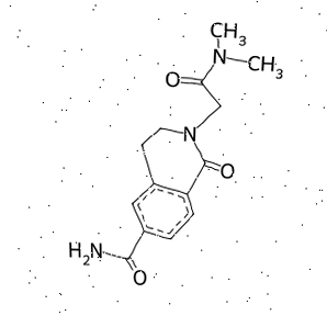 CN(C)C(=O)CN1CCc2cc(C(N)=O)ccc2C1=O